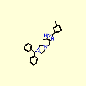 Cc1cccc(-c2nc(CN3CCN(C(c4ccccc4)c4ccccc4)CC3)c(C)[nH]2)c1